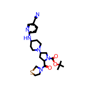 CC(C)(C)OC(=O)N1CC(N2CCC(Nc3ccc(C#N)cn3)CC2)CC1C(=O)N1CCSC1